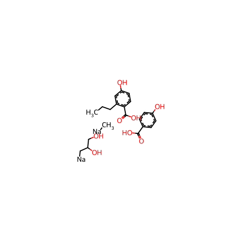 CCCc1cc(O)ccc1C(=O)O.O=C(O)c1ccc(O)cc1.OCC(O)[CH2][Na].[CH3][Na]